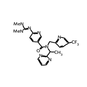 CNC(=Nc1ccc(C(=O)N(Cc2ccc(C(F)(F)F)cn2)C(C)c2ncccn2)cn1)NC